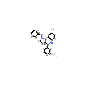 Fc1ccc(NC(c2cccc(C(F)(F)F)c2)C2CCN(Cc3ccccc3)C2)cc1